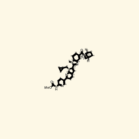 COC(=O)Nc1ccc(-c2ccc3cc(-c4nc5cc(C(=O)N6C[C@H]7CC[C@@H]6[C@@H]7N)ccc5n4C)n(CC4CC4)c3n2)cn1